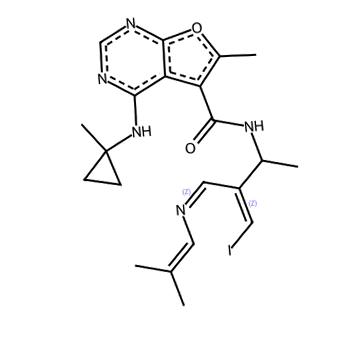 CC(C)=C/N=C\C(=C/I)C(C)NC(=O)c1c(C)oc2ncnc(NC3(C)CC3)c12